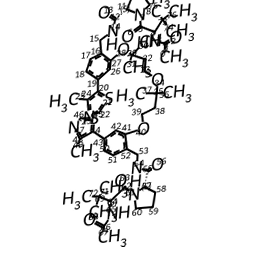 CC(=O)NC(C(=O)N1CCC[C@H]1C(=O)NCc1ccc(-c2scnc2C)cc1OC(C)(C)CCOC(C)(C)CCOc1cc(-c2scnc2C)ccc1CNC(=O)[C@@H]1CCCN1C(=O)[C@@H](NC(C)=O)C(C)(C)C)C(C)(C)C